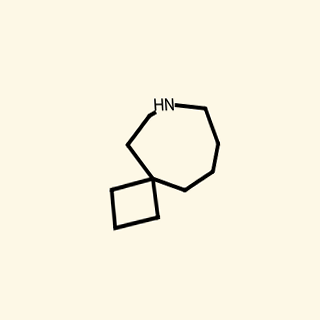 C1CCC2(CCC2)CCNC1